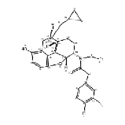 CC(C)CN(C(=O)Cc1ccc(Cl)c(Cl)c1)[C@H]1CC[C@H]2[C@H]3Cc4c(O)ccc5c4[C@@]2(CCN3CC2CC2)[C@H]1O5